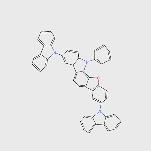 C1=CC2C(C=C1n1c3ccccc3c3ccccc31)c1ccc3c(oc4ccc(-n5c6ccccc6c6ccccc65)cc43)c1N2c1ccccc1